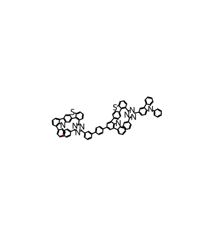 c1ccc(-c2nc(-c3cccc(-c4ccc(-c5cc6c7ccccc7n7c8cc9c(cc8c(c5)c67)sc5cccc(-c6nc(-c7ccccc7)nc(-c7ccc8c(c7)c7ccccc7n8-c7ccccc7)n6)c59)cc4)c3)nc(-c3cccc4sc5cc6c7cccc8c9ccccc9n(c6cc5c34)c87)n2)cc1